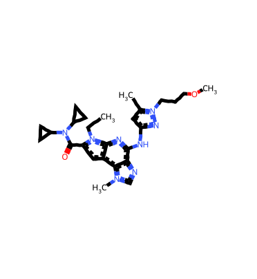 CCn1c(C(=O)N(C2CC2)C2CC2)cc2c3c(ncn3C)c(Nc3cc(C)n(CCCOC)n3)nc21